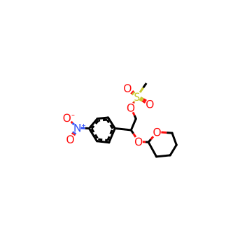 CS(=O)(=O)OCC(OC1CCCCO1)c1ccc([N+](=O)[O-])cc1